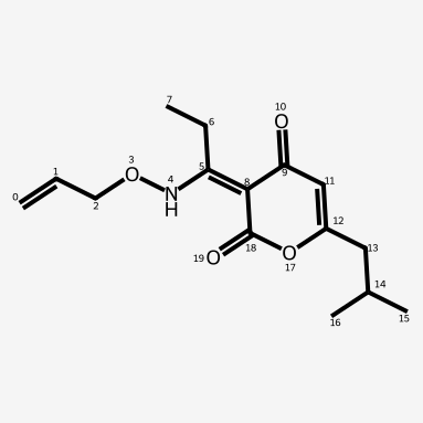 C=CCONC(CC)=C1C(=O)C=C(CC(C)C)OC1=O